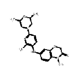 Cc1nc(N2CC(C)OC(C)C2)ccc1Nc1ccc2c(c1)OCC(=O)N2C